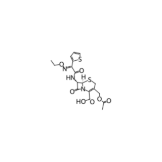 CCON=C(C(=O)N[C@@H]1C(=O)N2C(C(=O)O)=C(COC(C)=O)CS[C@H]12)c1cccs1